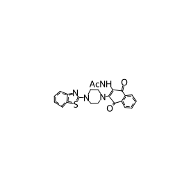 CC(=O)NC1=C(N2CCN(c3nc4ccccc4s3)CC2)C(=O)c2ccccc2C1=O